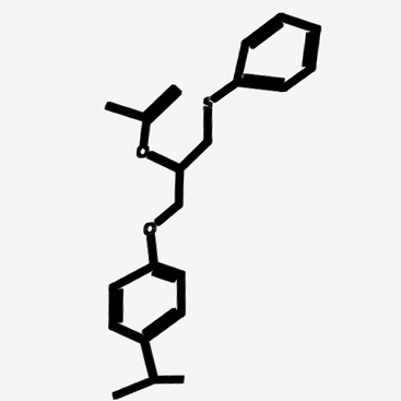 C=C(C)OC(COc1ccc(C(C)C)cc1)CSc1ccccc1